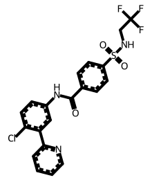 O=C(Nc1ccc(Cl)c(-c2ccccn2)c1)c1ccc(S(=O)(=O)NCC(F)(F)F)cc1